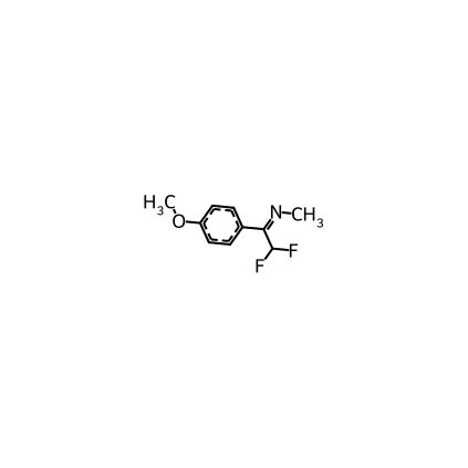 CN=C(c1ccc(OC)cc1)C(F)F